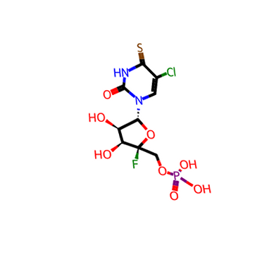 O=c1[nH]c(=S)c(Cl)cn1[C@@H]1O[C@](F)(COP(=O)(O)O)[C@@H](O)[C@H]1O